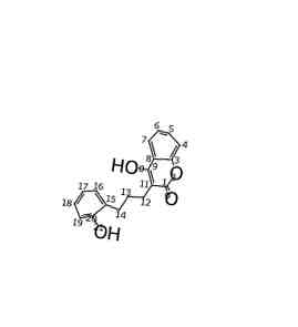 O=c1oc2ccccc2c(O)c1CCCc1ccccc1O